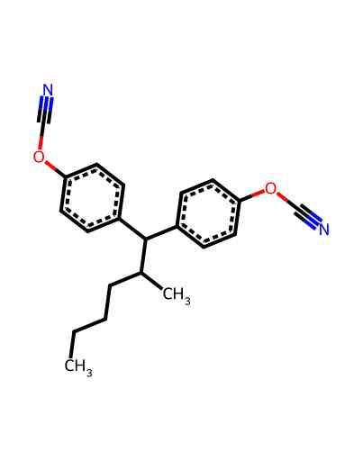 CCCCC(C)C(c1ccc(OC#N)cc1)c1ccc(OC#N)cc1